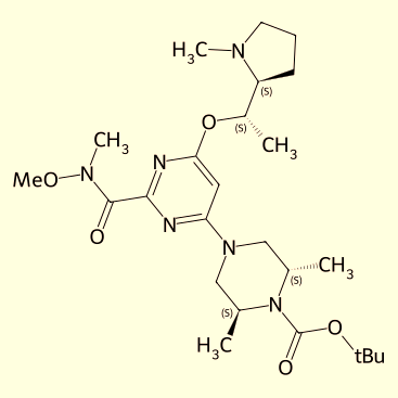 CON(C)C(=O)c1nc(O[C@@H](C)[C@@H]2CCCN2C)cc(N2C[C@H](C)N(C(=O)OC(C)(C)C)[C@@H](C)C2)n1